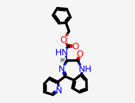 O=C(N[C@@H]1N=C(c2ccccn2)c2ccccc2NC1=O)OCc1ccccc1